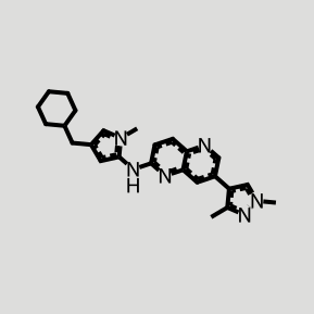 Cc1nn(C)cc1-c1cnc2ccc(Nc3cc(CC4CCCCC4)cn3C)nc2c1